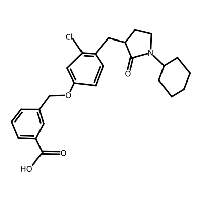 O=C(O)c1cccc(COc2ccc(CC3CCN(C4CCCCC4)C3=O)c(Cl)c2)c1